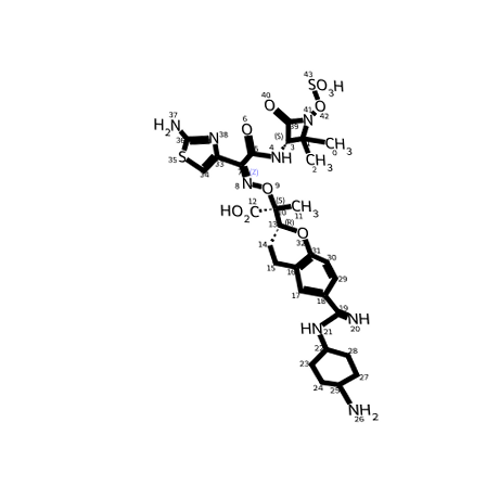 CC1(C)[C@H](NC(=O)/C(=N\O[C@](C)(C(=O)O)[C@H]2CCc3cc(C(=N)NC4CCC(N)CC4)ccc3O2)c2csc(N)n2)C(=O)N1OS(=O)(=O)O